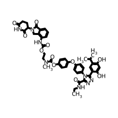 CCNC(=O)c1nnc(-c2cc(C(C)C)c(O)cc2O)n1-c1ccc(Oc2ccc(OC(=O)N(C)CCOC(=O)Nc3cccc4c3CN(C3CCC(=O)NC3=O)C4=O)cc2)cc1